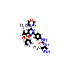 Cc1n[nH]cc1NC(=O)Nc1ccc(-c2nc(N3CCOC[C@@H]3C)cc(C3(S(=O)(=O)c4ccncc4)CC3)n2)cc1